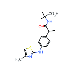 C[C@H](C(=O)NC(C)(C)C(=O)O)c1ccc(Nc2nc(C(F)(F)F)cs2)cc1